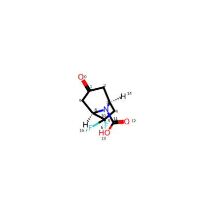 O=C1C[C@H]2CC(F)(F)[C@@H](C1)N2C(=O)O